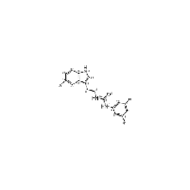 Cc1cc(C)cc(NC(=O)NCCc2c[nH]c3ccc(C)cc23)c1